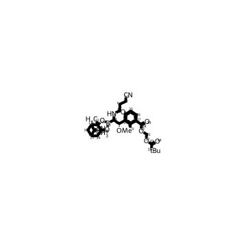 COc1c(CC(NC(=O)CCC#N)B2OC3CC4CC(C4(C)C)C3(C)O2)cccc1C(=O)OCOC(=O)C(C)(C)C